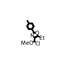 CCc1oc(-c2ccc(C)cc2)nc1C(Cl)OC